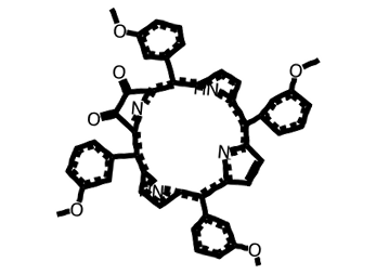 COc1cccc(-c2c3nc(c(-c4cccc(OC)c4)c4ccc([nH]4)c(-c4cccc(OC)c4)c4nc(c(-c5cccc(OC)c5)c5ccc2[nH]5)C(=O)C4=O)C=C3)c1